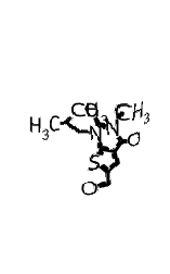 CC(C)Cn1c(=O)n(C)c(=O)c2cc(C=O)sc21